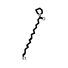 CCC=CCC=CCC=CCCCCCCCC(=O)N1CCCCC1